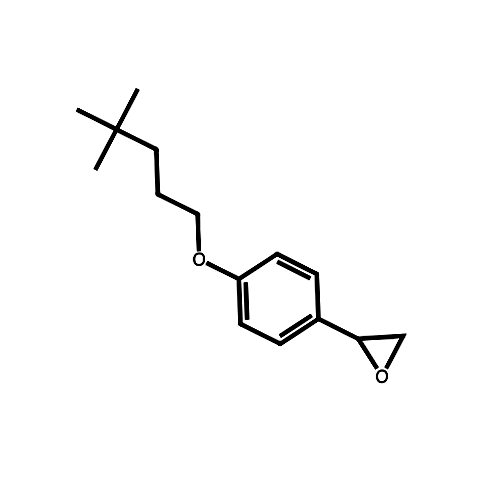 CC(C)(C)CCCOc1ccc(C2CO2)cc1